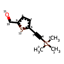 CS(C)(C)C#Cc1ccc(C=O)s1